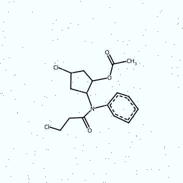 CC(=O)OC1CC(Cl)CC1N(C(=O)CCCl)c1ccccc1